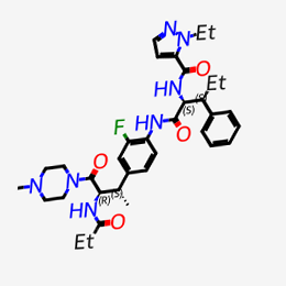 CCC(=O)N[C@@H](C(=O)N1CCN(C)CC1)[C@@H](C)c1ccc(NC(=O)[C@@H](NC(=O)c2ccnn2CC)[C@@H](CC)c2ccccc2)c(F)c1